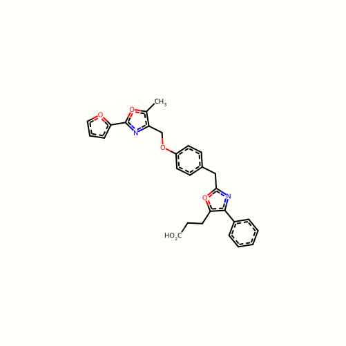 Cc1oc(-c2ccco2)nc1COc1ccc(Cc2nc(-c3ccccc3)c(CCC(=O)O)o2)cc1